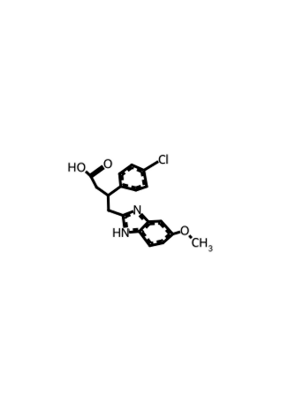 COc1ccc2[nH]c(CC(CC(=O)O)c3ccc(Cl)cc3)nc2c1